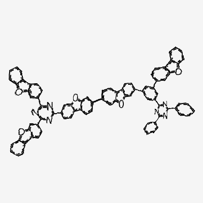 c1ccc(-c2nc(-c3ccccc3)nc(-c3cc(-c4ccc5c(c4)oc4ccccc45)cc(-c4ccc5c(c4)oc4cc(-c6ccc7c(c6)oc6cc(-c8nc(-c9ccc%10c(c9)oc9ccccc9%10)nc(-c9ccc%10c(c9)oc9ccccc9%10)n8)ccc67)ccc45)c3)n2)cc1